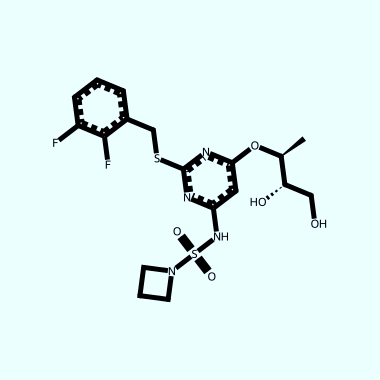 C[C@H](Oc1cc(NS(=O)(=O)N2CCC2)nc(SCc2cccc(F)c2F)n1)[C@@H](O)CO